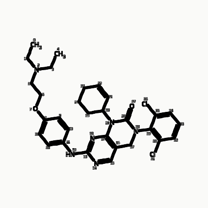 CCN(CC)CCOc1ccc(Nc2ncc3c(n2)N(C2C=CCCC2)C(=O)N(c2c(Cl)cccc2Cl)C3)cc1